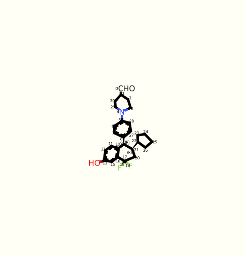 O=CC1CCN(c2ccc([C@@H]3c4ccc(O)cc4C(F)(F)C[C@@H]3C3CCCC3)cc2)CC1